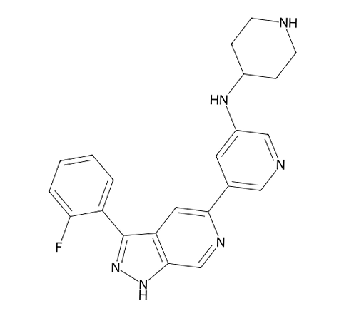 Fc1ccccc1-c1n[nH]c2cnc(-c3cncc(NC4CCNCC4)c3)cc12